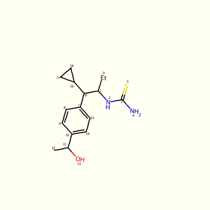 CCC(NC(N)=S)C(c1ccc(C(C)O)cc1)C1CC1